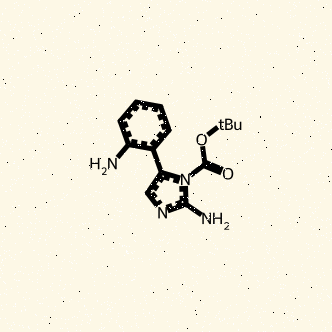 CC(C)(C)OC(=O)n1c(-c2ccccc2N)cnc1N